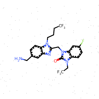 NCc1ccc2c(c1)nc(Cn1c(=O)n(CC(F)(F)F)c3ccc(F)cc31)n2CCCC(F)(F)F